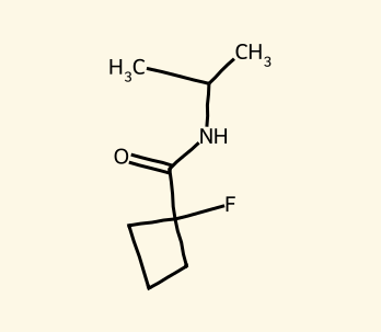 CC(C)NC(=O)C1(F)CCC1